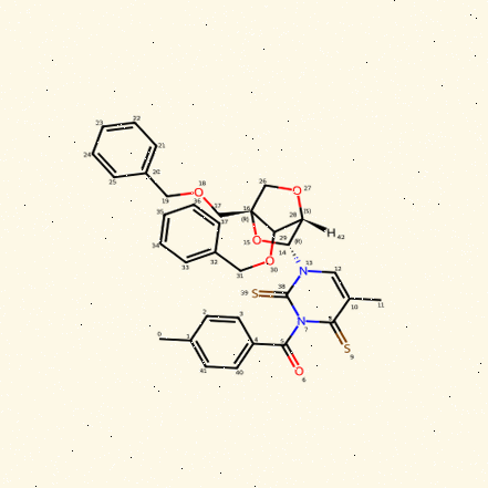 Cc1ccc(C(=O)n2c(=S)c(C)cn([C@@H]3O[C@]4(COCc5ccccc5)CO[C@H]3C4OCc3ccccc3)c2=S)cc1